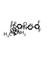 CN(C)C1(C(=O)N(N)c2cc(C(=O)Nc3ccc(-c4cc(F)cc(F)c4)nc3)ccc2OC(F)(F)F)CC1